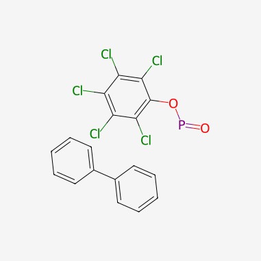 O=POc1c(Cl)c(Cl)c(Cl)c(Cl)c1Cl.c1ccc(-c2ccccc2)cc1